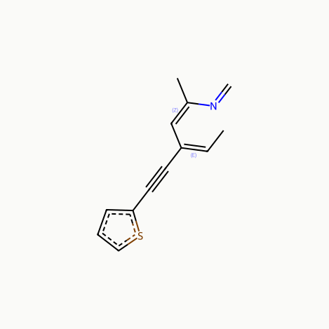 C=N/C(C)=C\C(C#Cc1cccs1)=C/C